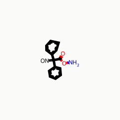 NOC(=O)C(N=O)(c1ccccc1)c1ccccc1